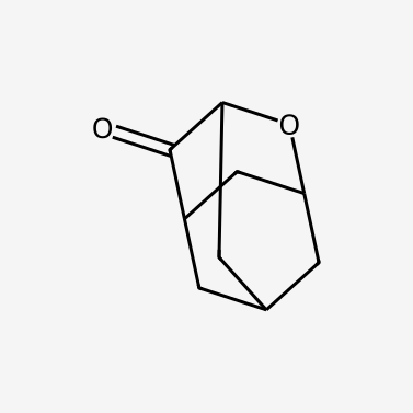 O=C1C2CC3CC(C2)OC1C3